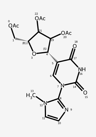 CC(=O)OC[C@H]1O[C@@H](c2cn(-c3nccn3C)c(=O)[nH]c2=O)C(OC(C)=O)C1OC(C)=O